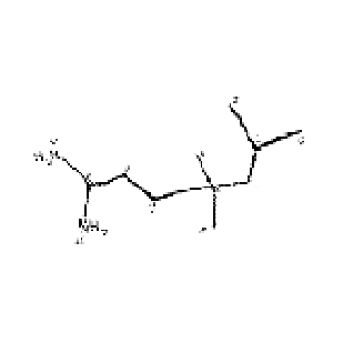 CC(C)CC(C)(C)CCC(N)N